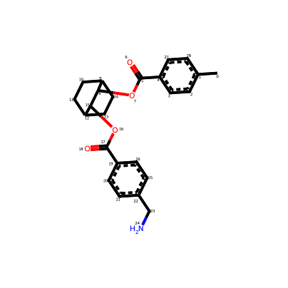 Cc1ccc(C(=O)OC2C3CCC(CC3)C2OC(=O)c2ccc(CN)cc2)cc1